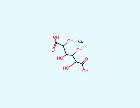 O=C(O)C(O)C(O)C(O)C(O)C(=O)O.[Cu]